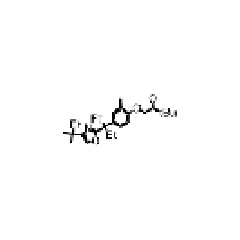 CCC(C)(C)c1coc(C(CC)(CC)c2ccc(OCC(=O)C(C)(C)C)c(C)c2)n1